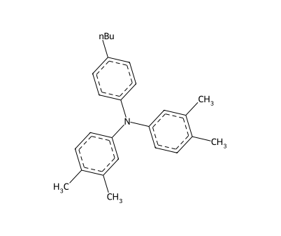 CCCCc1ccc(N(c2ccc(C)c(C)c2)c2ccc(C)c(C)c2)cc1